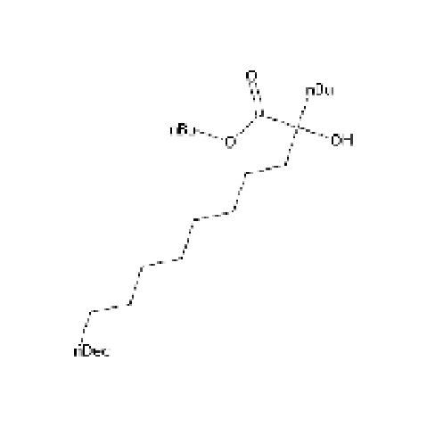 CCCCCCCCCCCCCCCCCCC(O)(CCCC)C(=O)OCCCC